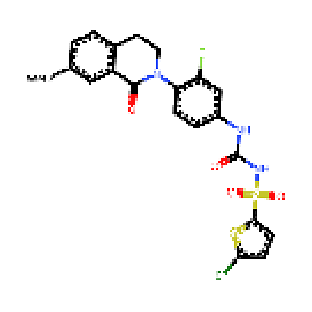 COc1ccc2c(c1)C(=O)N(c1ccc(NC(=O)NS(=O)(=O)c3ccc(Cl)s3)cc1F)CC2